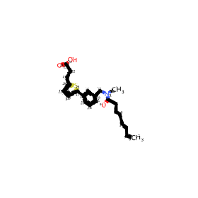 CCCCCCCC(=O)N(C)Cc1cccc(-c2ccc(CCC(=O)O)s2)c1